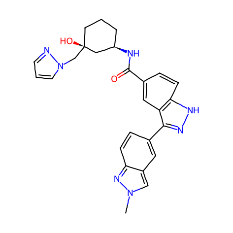 Cn1cc2cc(-c3n[nH]c4ccc(C(=O)N[C@@H]5CCC[C@@](O)(Cn6cccn6)C5)cc34)ccc2n1